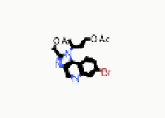 CC(=O)OCCC(C)n1c(COC(C)=O)nc2cnc3cc(Br)ccc3c21